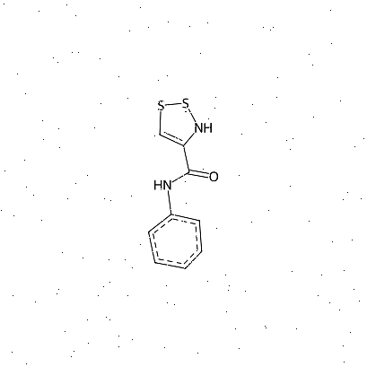 O=C(Nc1ccccc1)C1=CSSN1